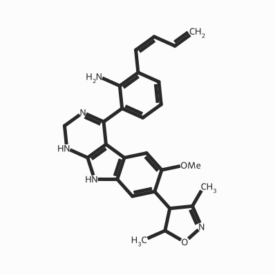 C=C/C=C\c1cccc(C2=NCNc3[nH]c4cc(C5C(C)=NOC5C)c(OC)cc4c32)c1N